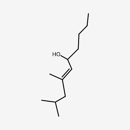 CCCCC(O)/C=C(\C)CC(C)C